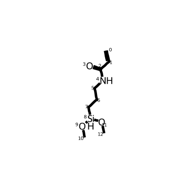 C=CC(=O)NCCC[SiH](OC)OC